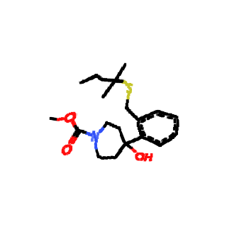 CCC(C)(C)SCc1ccccc1C1(O)CCN(C(=O)OC)CC1